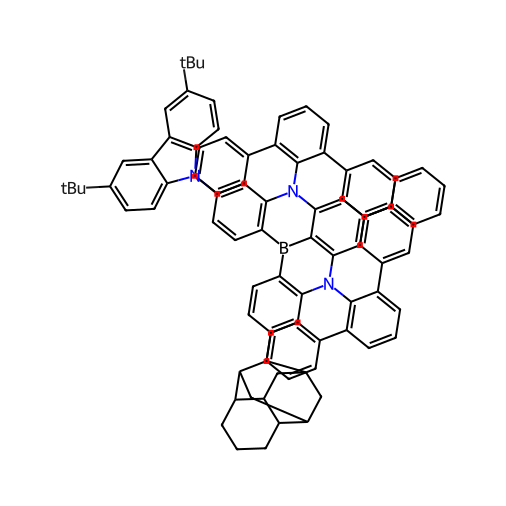 CC(C)(C)c1ccc2c(c1)c1cc(C(C)(C)C)ccc1n2-c1ccc2c(c1)N(c1c(-c3ccccc3)cccc1-c1ccccc1)c1cc(-c3ccccc3)cc3c1B2c1ccc(C2C4CC5CC2C2CCCC5C2C4)cc1N3c1c(-c2ccccc2)cccc1-c1ccccc1